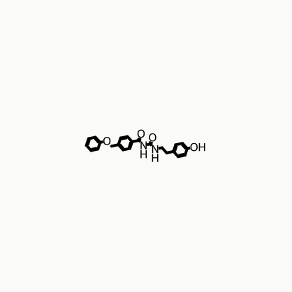 O=C(NCCc1ccc(O)cc1)NC(=O)c1ccc(COc2ccccc2)cc1